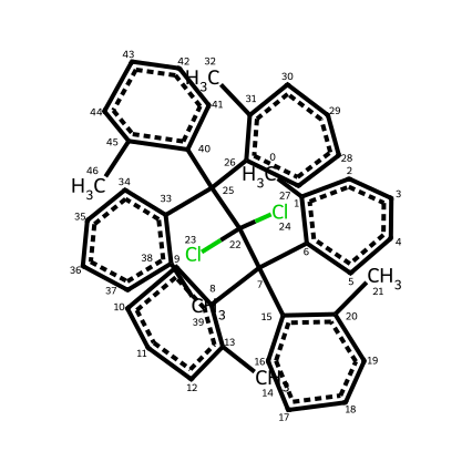 Cc1ccccc1C(c1ccccc1C)(c1ccccc1C)C(Cl)(Cl)C(c1ccccc1C)(c1ccccc1C)c1ccccc1C